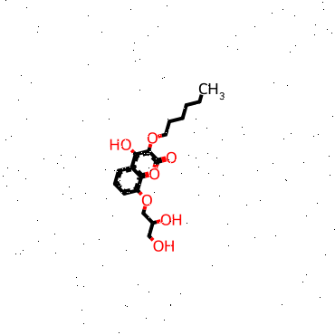 CCCCCCOc1c(O)c2cccc(OCC(O)CO)c2oc1=O